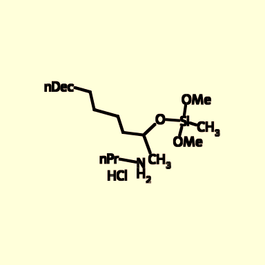 CCCCCCCCCCCCCCC(C)O[Si](C)(OC)OC.CCCN.Cl